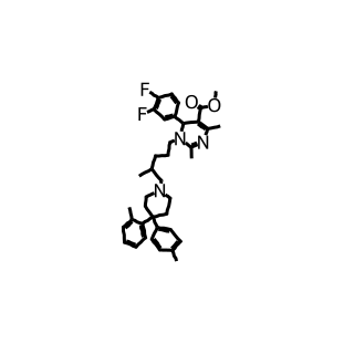 COC(=O)C1=C(C)N=C(C)N(CCCC(C)CN2CCC(c3ccc(C)cc3)(c3ccccc3C)CC2)C1c1ccc(F)c(F)c1